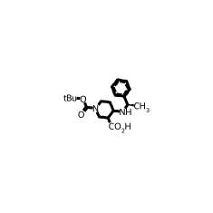 C[C@@H](NC1CCN(C(=O)OC(C)(C)C)CC1C(=O)O)c1ccccc1